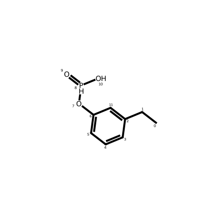 CCc1cccc(O[PH](=O)O)c1